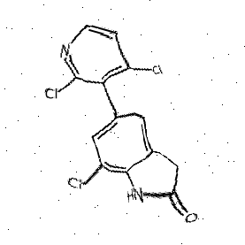 O=C1Cc2cc(-c3c(Cl)ccnc3Cl)cc(Cl)c2N1